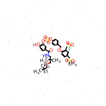 CCC(C)(C)COCC(C)(C)CNC(=O)c1ccc(O)c(OS(=O)(=O)Oc2ccc(COc3ccc(CS(C)(=O)=O)cc3CS(=O)(=O)F)cc2)c1